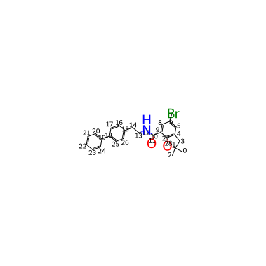 CC1(C)Cc2cc(Br)cc(C(=O)NCCc3ccc(-c4ccccc4)cc3)c2O1